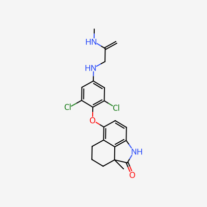 C=C(CNc1cc(Cl)c(Oc2ccc3c4c2CCCC4(C)C(=O)N3)c(Cl)c1)NC